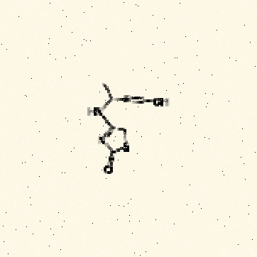 CC(C#CO)NC1=NC(=O)SC1